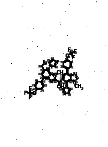 Cn1cnc2c(-c3ccc(OC(F)(F)F)cc3)cc(C(O)c3nc4c(-c5ccc(OC(F)(F)F)cc5)cc(CBr)c(-n5ccnc5)c4n3C)c(-n3ccnc3)c21